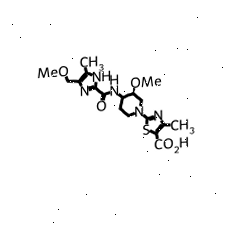 COCc1nc(C(=O)NC2CCN(c3nc(C)c(C(=O)O)s3)C[C@@H]2OC)[nH]c1C